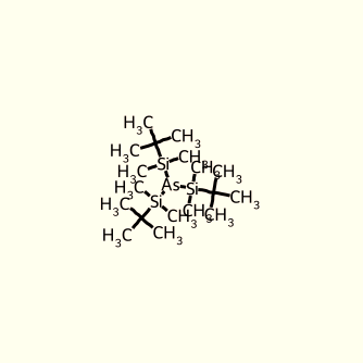 CC(C)(C)[Si](C)(C)[As]([Si](C)(C)C(C)(C)C)[Si](C)(C)C(C)(C)C